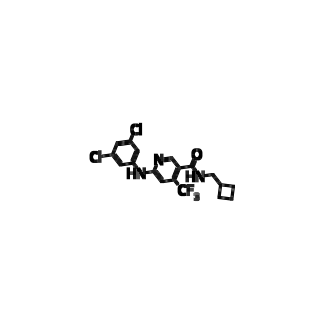 O=C(NCC1CCC1)c1cnc(Nc2cc(Cl)cc(Cl)c2)cc1C(F)(F)F